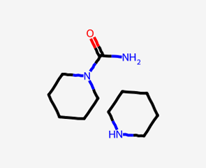 C1CCNCC1.NC(=O)N1CCCCC1